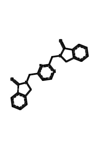 O=C1c2ccccc2CN1Cc1ccnc(CN2Cc3ccccc3C2=O)n1